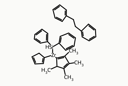 CC1=C(C)C(C)[C]([Zr]([C]2=CC=CC2)[SiH](c2ccccc2)c2ccccc2)=C1C.c1ccc(CCc2ccccc2)cc1